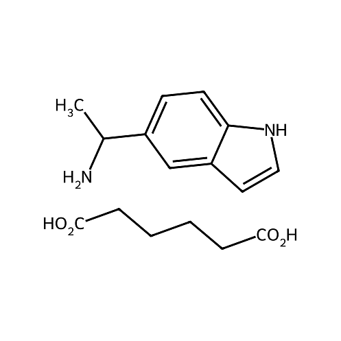 CC(N)c1ccc2[nH]ccc2c1.O=C(O)CCCCC(=O)O